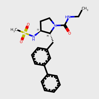 CCNC(=O)N1CC[C@H](NS(C)(=O)=O)[C@H]1Cc1cccc(-c2ccccc2)c1